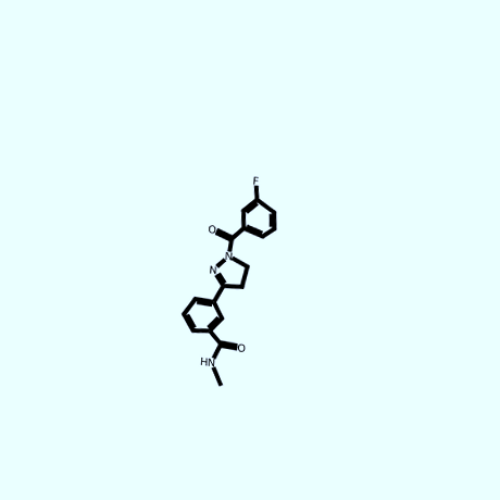 CNC(=O)c1cccc(C2=NN(C(=O)c3cccc(F)c3)CC2)c1